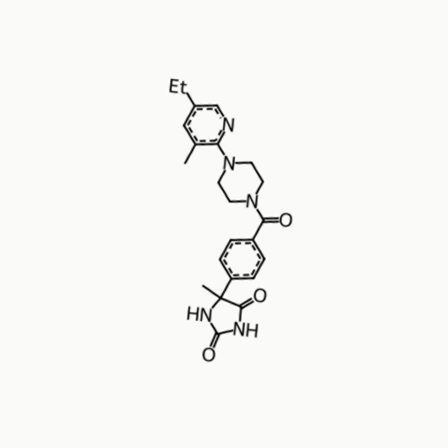 CCc1cnc(N2CCN(C(=O)c3ccc(C4(C)NC(=O)NC4=O)cc3)CC2)c(C)c1